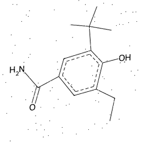 CCc1cc(C(N)=O)cc(C(C)(C)C)c1O